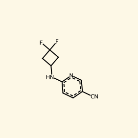 N#Cc1ccc(NC2CC(F)(F)C2)nc1